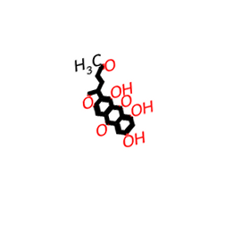 CC(=O)CCC1COc2cc3c(c(O)c21)C(=O)c1c(O)cc(O)cc1C3=O